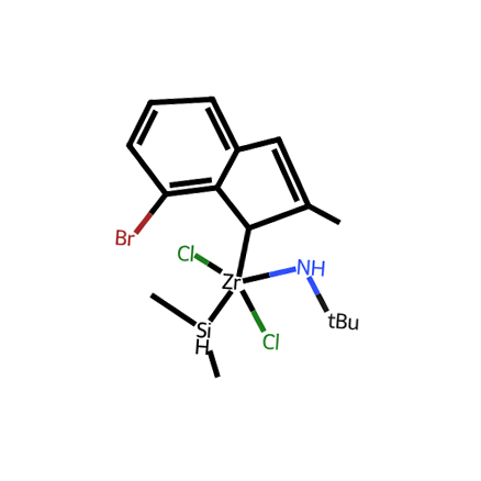 CC1=Cc2cccc(Br)c2[CH]1[Zr]([Cl])([Cl])([NH]C(C)(C)C)[SiH](C)C